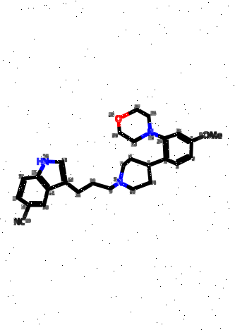 COc1ccc(C2CCN(CCCc3c[nH]c4ccc(C#N)cc34)CC2)c(N2CCOCC2)c1